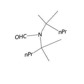 CCCC(C)(C)N(C=O)C(C)(C)CCC